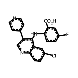 O=C(O)c1cc(F)ccc1Nc1c(-c2ccncc2)cnc2ccc(Cl)cc12